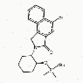 CC(C)(C)[Si](C)(C)O[C@H]1CCCC[C@@H]1N1Cc2c(cc(Br)c3ccccc23)C1=O